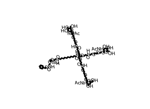 CC(=O)NC1C(O)CC(CO)OC1OCCOCCOCCNC(=O)CCOCC(COCCC(=O)NCCOCCOCCOC1OC(CO)C(O)C(O)C1NC(C)=O)(COCCC(=O)NCCOCCOCCOC1OC(CO)C(O)C(O)C1NC(C)=O)NC(=O)CCCCCCCCCCC(=O)NCCOC(C)(OCCNC(=O)OCc1ccccc1)C(C)(C)C